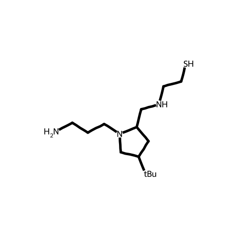 CC(C)(C)C1CC(CNCCS)N(CCCN)C1